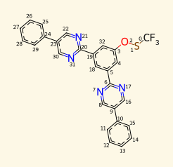 FC(F)(F)SOc1cc(-c2ncc(-c3ccccc3)cn2)cc(-c2ncc(-c3ccccc3)cn2)c1